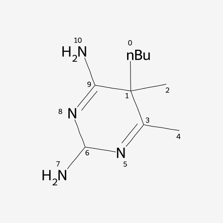 CCCCC1(C)C(C)=NC(N)N=C1N